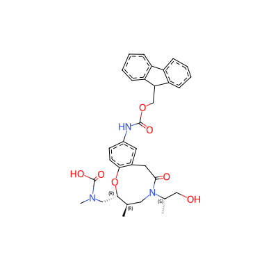 C[C@@H]1CN([C@@H](C)CO)C(=O)Cc2cc(NC(=O)OCC3c4ccccc4-c4ccccc43)ccc2O[C@H]1CN(C)C(=O)O